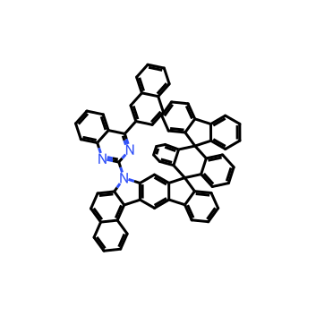 c1ccc2c(c1)-c1ccccc1C21c2ccccc2C2(c3ccccc3-c3cc4c5c6ccccc6ccc5n(-c5nc(-c6ccc7ccccc7c6)c6ccccc6n5)c4cc32)c2ccccc21